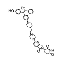 CCC(=C(c1ccc(O)cc1)c1ccc(N2CCC(CCN3CCN(c4ccc5c(n4)CN(C4CCC(=O)NC4=O)C5=O)CC3)CC2)cc1)c1ccccc1